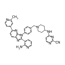 Cc1cc(-c2ccc3nc(-c4cccnc4N)n(-c4ccc(CN5CCC(Nc6ccnc(C#N)n6)CC5)cc4)c3n2)ccn1